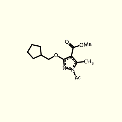 COC(=O)c1c(OCC2CCCC2)nn(C(C)=O)c1C